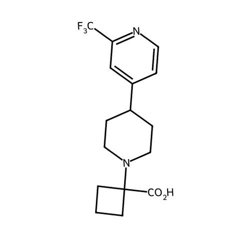 O=C(O)C1(N2CCC(c3ccnc(C(F)(F)F)c3)CC2)CCC1